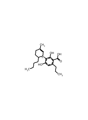 CCCCC1CCC(C)=C[C@H]1c1c(O)cc(CCC)c(C(=O)O)c1O